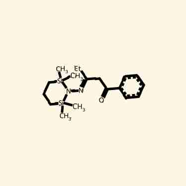 CCC(CC(=O)c1ccccc1)=NN1[Si](C)(C)CCC[Si]1(C)C